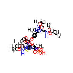 Cn1c(-c2ccc(OC[C@H](O/N=C(\C(=O)N[C@@H]3C(=O)N(OS(=O)(=O)O)C3(C)C)c3csc(NC(=O)OC(C)(C)C)n3)C(=O)OC(C)(C)C)cc2)cn(CCCNC(=O)OC(C)(C)C)/c1=N\C(=O)OC(C)(C)C